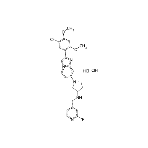 COc1cc(OC)c(-c2cn3ccc(N4CCC(NCc5ccnc(F)c5)C4)cc3n2)cc1Cl.Cl.Cl